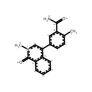 Cc1ccc(-c2cn(C)c(=O)c3ccccc23)cc1C(N)=O